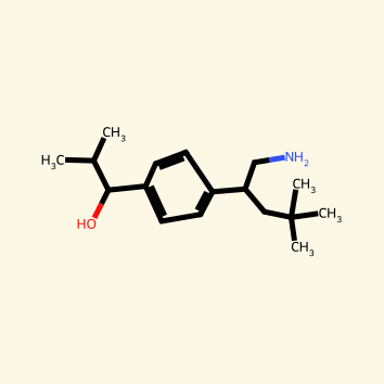 CC(C)C(O)c1ccc(C(CN)CC(C)(C)C)cc1